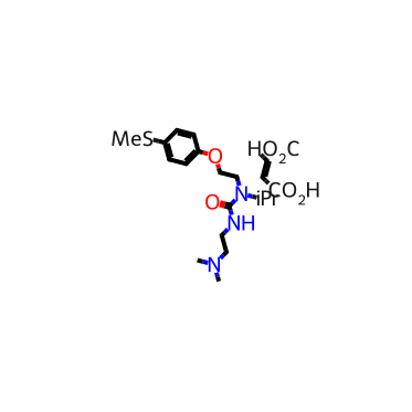 CSc1ccc(OCCN(C(=O)NCCN(C)C)C(C)C)cc1.O=C(O)C=CC(=O)O